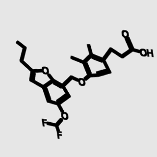 CCCc1cc2cc(OC(F)F)cc(COc3ccc(CCC(=O)O)c(C)c3C)c2o1